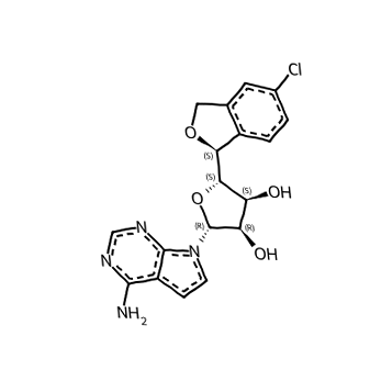 Nc1ncnc2c1ccn2[C@@H]1O[C@H]([C@H]2OCc3cc(Cl)ccc32)[C@@H](O)[C@H]1O